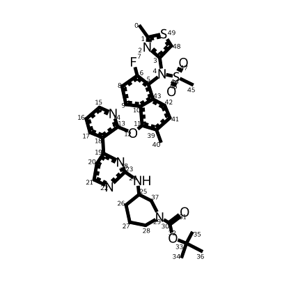 Cc1nc(N(c2c(F)ccc3c(Oc4ncccc4-c4ccnc(NC5CCCN(C(=O)OC(C)(C)C)C5)n4)c(C)ccc23)S(C)(=O)=O)cs1